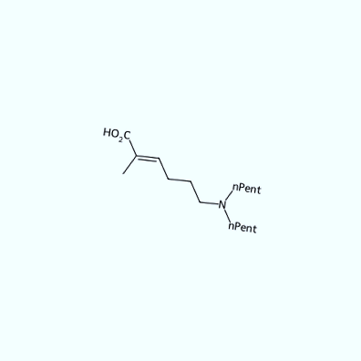 CCCCCN(CCCC=C(C)C(=O)O)CCCCC